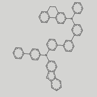 c1ccc(-c2ccc(N(c3cccc(-c4cccc(-c5cccc(N(c6ccccc6)c6ccc7c(c6)CCc6ccccc6-7)c5)c4)c3)c3ccc4c(c3)sc3ccccc34)cc2)cc1